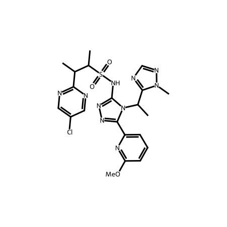 COc1cccc(-c2nnc(NS(=O)(=O)C(C)C(C)c3ncc(Cl)cn3)n2C(C)c2ncnn2C)n1